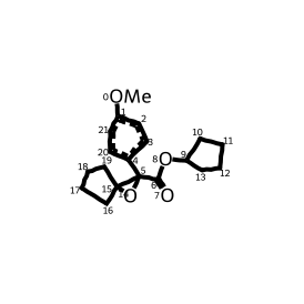 COc1ccc(C2(C(=O)OC3CCCC3)OC23CCCC3)cc1